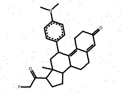 CN(C)c1ccc(C2CC3(C)C(C(=O)CF)CCC3C3CCC4=CC(=O)CCC4=C23)cc1